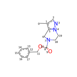 Cc1cnn2c1CN(C(=O)OCc1ccccc1)CC2